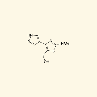 CNc1nc(-c2cn[nH]c2)c(CO)s1